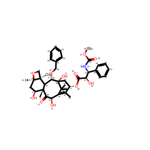 CC(=O)O[C@@]12CO[C@@H]1C[C@H](O)[C@@]1(C)C(=O)[C@H](O)C3=C(C)[C@@H](OC(=O)[C@H](O)[C@@H](NC(=O)OC(C)(C)C)c4ccccc4)C[C@@](O)([C@@H](OCc4ccccc4)C12)C3(C)C